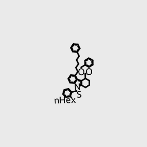 CCCCCCc1ccccc1C(=S)n1c2c(c3c(CCCCCc4ccccc4)cccc31)C(C(=O)OCc1ccccc1)CCC2